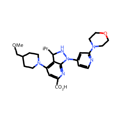 COCC1CCN(c2cc(C(=O)O)nc3c2C(C(C)C)NN3c2ccnc(N3CCOCC3)c2)CC1